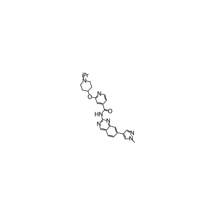 CC(C)N1CCC(Oc2cc(C(=O)Nc3ncc4ccc(-c5cnn(C)c5)cc4n3)ccn2)CC1